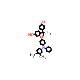 Cc1ccc(N(c2ccccc2)c2ccc(OCC(C)(c3ccc(O)cc3)c3ccc(O)cc3)cc2)cc1C